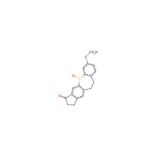 O=C(O)Oc1ccc2c(c1)[S+]([O-])c1cc3c(cc1CC2)CCC3=O